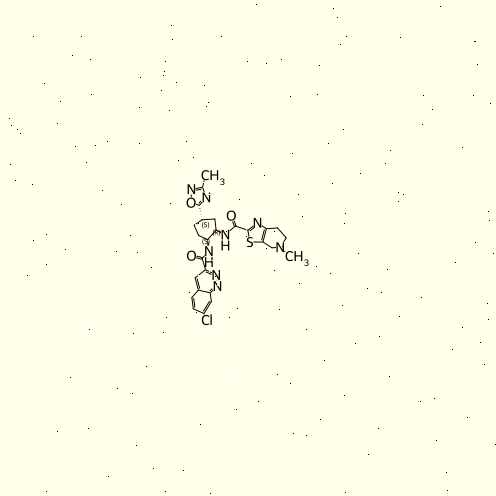 Cc1noc([C@H]2CC[C@H](NC(=O)c3cc4ccc(Cl)cc4nn3)[C@H](NC(=O)c3nc4c(s3)CN(C)CC4)C2)n1